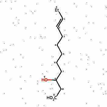 CC/C=C/CCCCCC(O)CC(=O)O